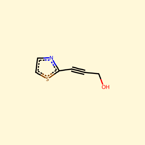 OCC#Cc1nccs1